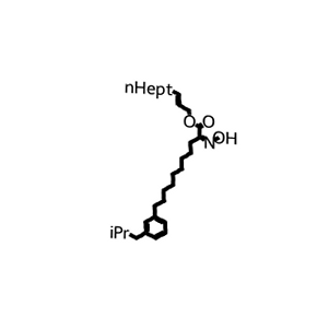 CCCCCCCC=CCOC(=O)C(CCCCCCCCCc1cccc(CC(C)C)c1)=NO